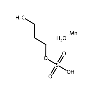 CCCCOS(=O)(=O)O.O.[Mn]